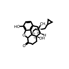 C[N+]1(CC2CC2)CC[C@]23c4c5ccc(O)c4OC2C(=O)CC[C@@]3(O)[C@H]1C5